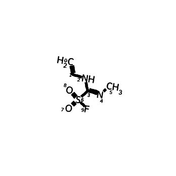 C=CN/C(=N\C)S(=O)(=O)F